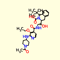 CCOc1c(C(=O)NC[C@@H](O)C2Cc3ccccc3[C@H](C(C)(C)C)N2C(=O)O)ccnc1NC1CCN(C(C)=O)CC1